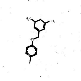 CC1=CC(CNc2ccc(F)cc2)=CC(C)[CH]1